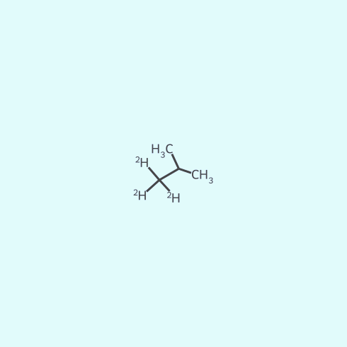 [2H]C([2H])([2H])C(C)C